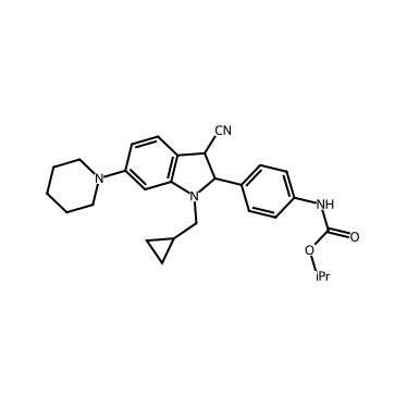 CC(C)OC(=O)Nc1ccc(C2C(C#N)c3ccc(N4CCCCC4)cc3N2CC2CC2)cc1